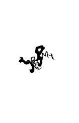 C=CC(CCC(C)C)S(=O)(=O)c1c(C=O)[nH]c2ccccc12